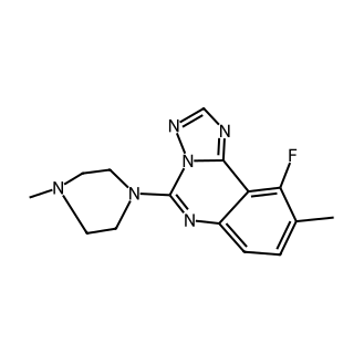 Cc1ccc2nc(N3CCN(C)CC3)n3ncnc3c2c1F